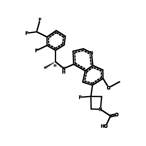 COc1cc2nccc(N[C@H](C)c3cccc(C(F)F)c3F)c2cc1C1(F)CN(C(=O)O)C1